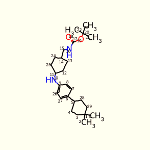 CC1(C)CCC(c2ccc(NC3CCC(CNC(=O)OC(C)(C)C)CC3)cc2)CC1